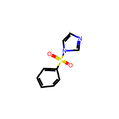 O=S(=O)(c1ccccc1)n1c[c]nc1